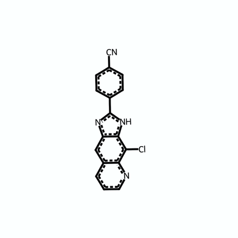 N#Cc1ccc(-c2nc3cc4cccnc4c(Cl)c3[nH]2)cc1